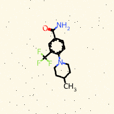 CC1CCN(c2ccc(C(N)=O)cc2C(F)(F)F)CC1